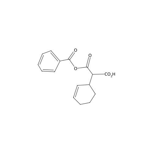 O=C(OC(=O)C(C(=O)O)C1C=CCCC1)c1ccccc1